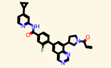 C=CC(=O)N1CCC(c2cc(-c3ccc(C(=O)Nc4cc(C5CC5)ccn4)cc3F)cc3cncnc23)C1